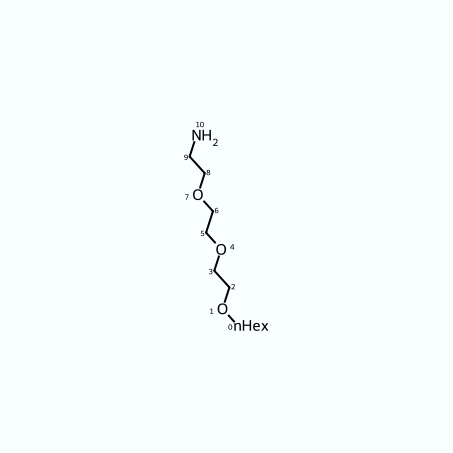 CCCCCCOCCOCCOCCN